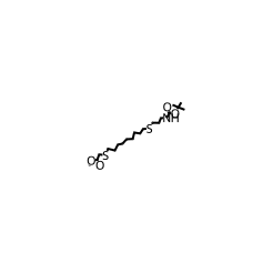 COC(=O)CSCCCCCCCCCSCCCNC(=O)OC(C)(C)C